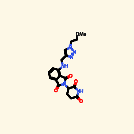 COCCn1cc(CNc2cccc3c2C(=O)N(C2CCC(=O)NC2=O)C3=O)nn1